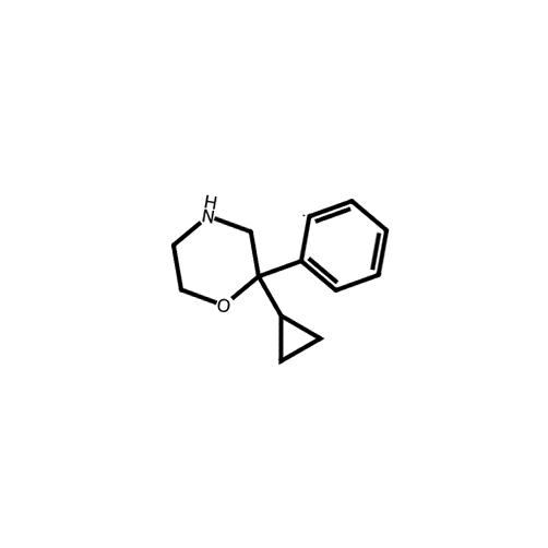 [c]1ccccc1C1(C2CC2)CNCCO1